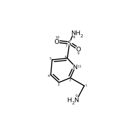 NCc1cccc(S(N)(=O)=O)n1